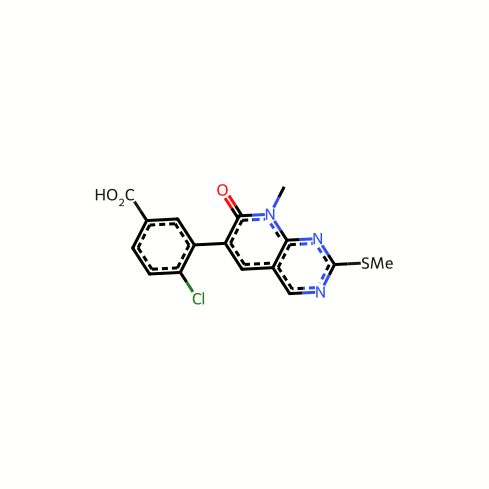 CSc1ncc2cc(-c3cc(C(=O)O)ccc3Cl)c(=O)n(C)c2n1